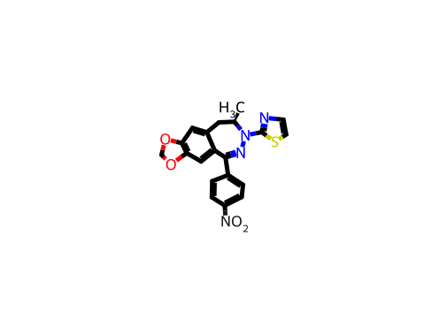 C[C@@H]1Cc2cc3c(cc2C(c2ccc([N+](=O)[O-])cc2)=NN1c1nccs1)OCO3